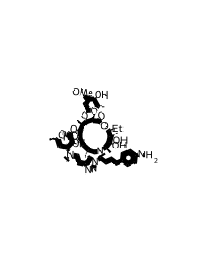 CC[C@H]1OC(=O)[C@H](C)[C@@H](O[C@H]2C[C@@](C)(OC)[C@@H](O)[C@H](C)O2)[C@H](C)[C@@H](O[C@@H]2O[C@H](C)C[C@H](N(C)CCc3cn(CCCCc4ccc(N)cc4)nn3)[C@H]2O)[C@](C)(O)C[C@@H](C)CN(C)[C@H](C)[C@@H](O)[C@]1(C)O